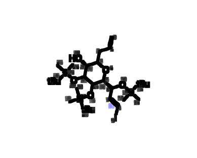 C=CCC1O[C@@H](C(/C=C/I)O[Si](C)(C)C(C)(C)C)C(O[Si](C)(C)C(C)(C)C)C(O[Si](C)(C)C(C)(C)C)[C@H]1O